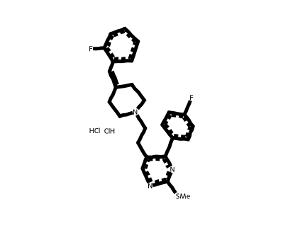 CSc1ncc(CCN2CCC(=Cc3ccccc3F)CC2)c(-c2ccc(F)cc2)n1.Cl.Cl